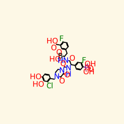 O=C(O)c1c(F)ccc2c1OB(O)[C@@H](NC(=O)C(NC(=O)N1CCN(Cc3ccc(O)c(O)c3Cl)C(=O)C1=O)c1ccc(P(=O)(O)O)c(F)c1)C2